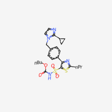 CCCCOC(=O)NS(=O)(=O)c1sc(CCC)nc1-c1ccc(Cn2ccnc2C2CC2)cc1